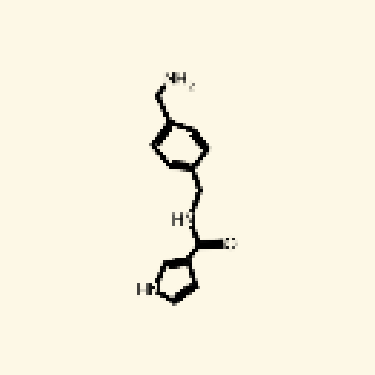 NCc1ccc(CNC(=O)c2cc[nH]c2)cc1